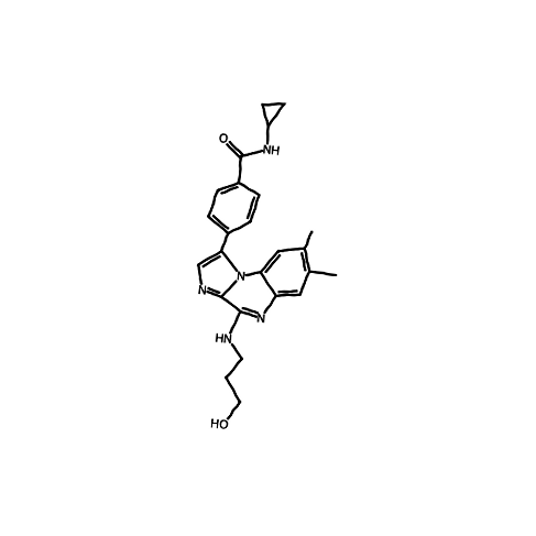 Cc1cc2nc(NCCCO)c3ncc(-c4ccc(C(=O)NC5CC5)cc4)n3c2cc1C